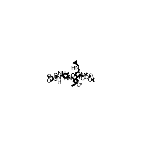 C=Cc1cc(C(=O)N[C@]2(C)CC=C(C(N)NC(=O)OC3COCOC3)CC2C)c(C2C=CC(CNCC3CC3)=NC2(C)C(=O)OC(C)OC(=O)OC(C)C)cc1OC